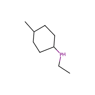 CCPC1CCC(C)CC1